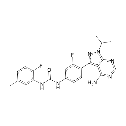 Cc1ccc(F)c(NC(=O)Nc2ccc(-c3nn(C(C)C)c4ncnc(N)c34)c(F)c2)c1